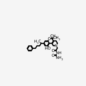 CC(CCCc1ccccc1)c1cc(O)c2c(c1)OC(C)(C)C1=C2CN(CC(=O)NC(N)=O)CC1